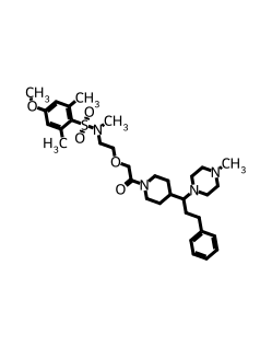 COc1cc(C)c(S(=O)(=O)N(C)CCOCC(=O)N2CCC(C(CCc3ccccc3)N3CCN(C)CC3)CC2)c(C)c1